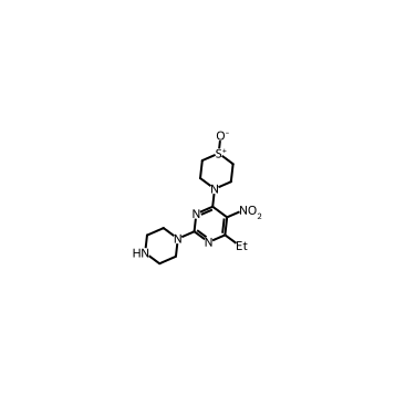 CCc1nc(N2CCNCC2)nc(N2CC[S+]([O-])CC2)c1[N+](=O)[O-]